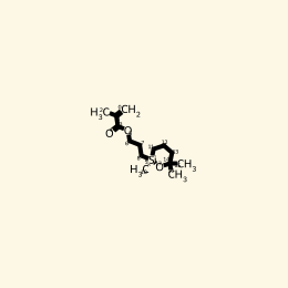 C=C(C)C(=O)OCCC[Si]1(C)CCCC(C)(C)O1